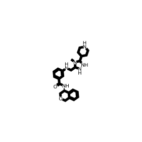 CN1C(CNc2cccc(C(=O)N[C@H]3COCc4ccccc43)c2)NNC1C1CCNCC1